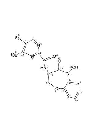 CCc1cnc(C(=O)N[C@H]2COc3ccccc3N(C)C2=O)nc1C(C)(C)C